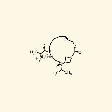 CC(C)NC12CN(C1)C(=O)OC/C=C/CCCC[C@](C)(C(=O)C(C)C)NCC2=O